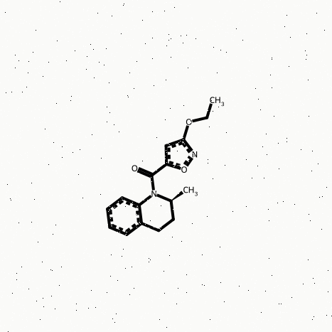 CCOc1cc(C(=O)N2c3ccccc3CC[C@@H]2C)on1